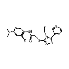 CCn1c(SCC(=O)Nc2ccc(C(C)C)cc2F)nnc1-c1cccnc1